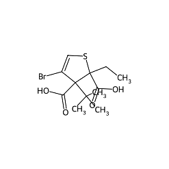 CCC1(C(=O)O)SC=C(Br)C1(C(=O)O)C(C)(C)C